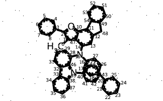 Cc1c(-c2ccccc2)oc2c3c(cc(N(c4ccc(-c5ccccc5)cc4)c4cccc5c6ccccc6n(-c6ccccc6)c45)c12)Cc1ccccc1-3